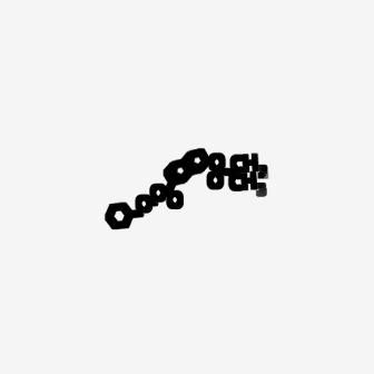 C=C(C)C(=O)OC1CC2CC1C1C3CC(CC3C(=O)OCOCC3CCCCC3)C21